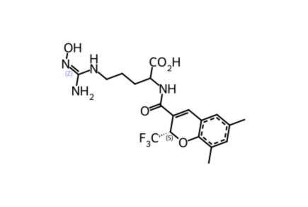 Cc1cc(C)c2c(c1)C=C(C(=O)NC(CCCN/C(N)=N\O)C(=O)O)[C@@H](C(F)(F)F)O2